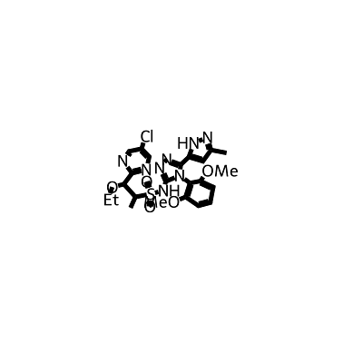 CCOC(c1ncc(Cl)cn1)C(C)S(=O)(=O)Nc1nnc(-c2cc(C)n[nH]2)n1-c1c(OC)cccc1OC